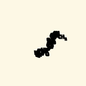 Cn1ncc2ccc(S(=O)(=O)c3ccc(CNC(=O)c4ccc5nccn5c4)cc3)cc21